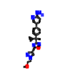 COCCn1cc(-c2nc([C@@](C)(c3ccc(-c4ccc(N)nc4)cc3)C3CC3)no2)cn1